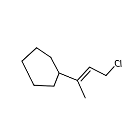 CC(=CCCl)C1CCCCC1